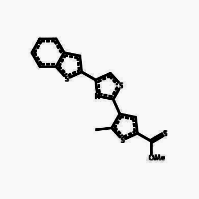 COC(=S)c1cc(-c2nc(-c3cc4ccccc4s3)cs2)c(C)s1